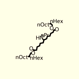 CCCCCCCCC(CCCCCC)COC(=O)CCCCCC(CCCCCC(=O)OCC(CCCCCC)CCCCCCCC)NCCC